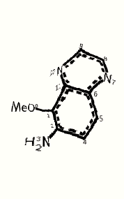 COc1c(N)ccc2nccnc12